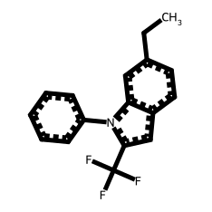 CCc1ccc2cc(C(F)(F)F)n(-c3ccccc3)c2c1